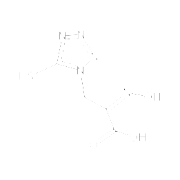 O=C(O)C(Cn1nnnc1S)=NO